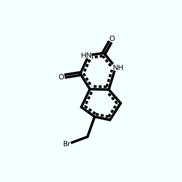 O=c1[nH]c(=O)c2cc(CBr)ccc2[nH]1